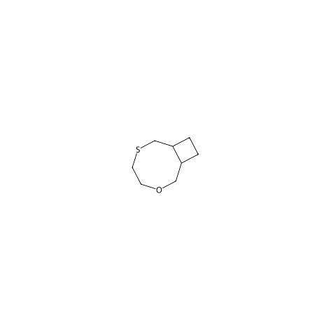 C1CSCC2CCC2CO1